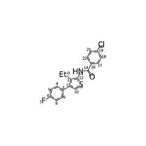 CCc1c(-c2ccc(F)cc2)csc1NC(=O)c1ccc(Cl)cc1